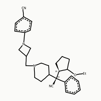 CCOC1CCC[C@@H]1[C@](C#N)(c1ccccc1)C1CCN(CC2CN(c3ccc(C#N)cc3)C2)CC1